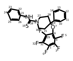 Fc1c(F)c(F)c(OC2(c3ccccc3)CCN(C(=S)Nc3ccccc3)CC2)c(F)c1F